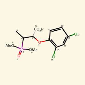 COP(=O)(OC)C(C)[C@@H](Oc1ccc(Cl)cc1Cl)C(=O)O